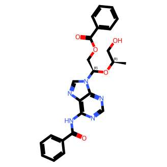 C[C@H](CO)O[C@H](COC(=O)c1ccccc1)n1cnc2c(NC(=O)c3ccccc3)ncnc21